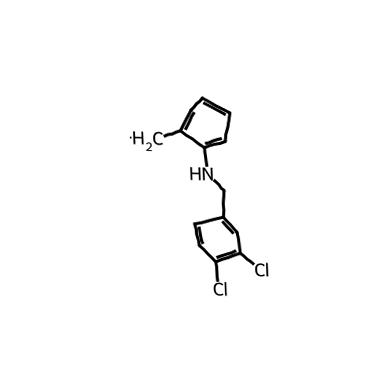 [CH2]c1ccccc1NCc1ccc(Cl)c(Cl)c1